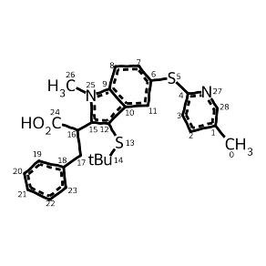 Cc1ccc(Sc2ccc3c(c2)c(SC(C)(C)C)c(C(Cc2ccccc2)C(=O)O)n3C)nc1